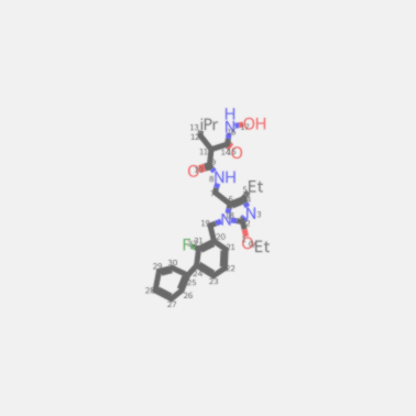 CCOc1nc(CC)c(CNC(=O)C(CC(C)C)C(=O)NO)n1Cc1cccc(-c2ccccc2)c1F